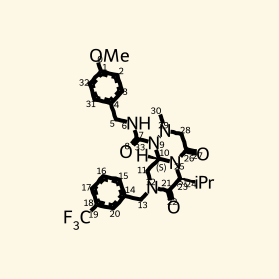 COc1ccc(CNC(=O)N2[C@H]3CN(Cc4cccc(C(F)(F)F)c4)C(=O)[C@H](C(C)C)N3C(=O)CN2C)cc1